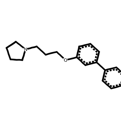 c1ccc(-c2cccc(OCCCN3CCCC3)c2)cc1